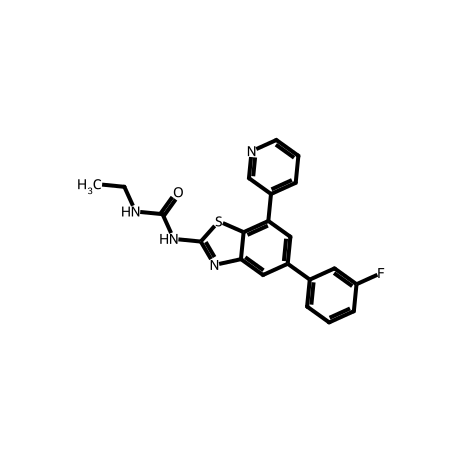 CCNC(=O)Nc1nc2cc(-c3cccc(F)c3)cc(-c3cccnc3)c2s1